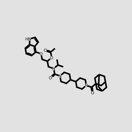 CC(=O)OC(COc1cccc2[nH]ccc12)CN(C(=O)N1CCC(C2CCN(C(=O)C34CC5CC(CC(C5)C3)C4)CC2)CC1)C(C)C